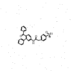 CCS(=O)(=O)c1ccc(CC(=O)Nc2ccc(C(=O)c3ccccc3)c(-c3ccccc3)c2)cc1